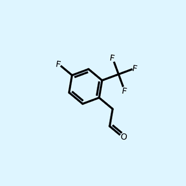 O=CCc1ccc(F)cc1C(F)(F)F